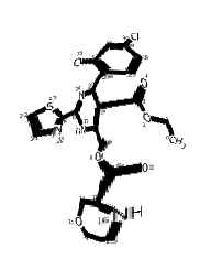 CCOC(=O)C1=C(COC(=O)C2COCCN2)NC(c2nccs2)=NC1c1ccc(Cl)cc1Cl